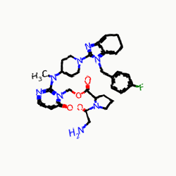 CN(c1nccc(=O)n1COC(=O)C1CCCN1C(=O)CN)C1CCN(c2nc3c(n2Cc2ccc(F)cc2)=CCCC=3)CC1